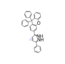 N=C(/C=C\C(=N)c1ccc2c(c1)Oc1ccccc1C2(c1ccccc1)c1ccccc1)c1ccccc1